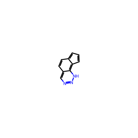 c1cc2ccc3cnn[nH]c3c2c1